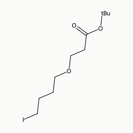 CC(C)(C)OC(=O)CCOCCCCI